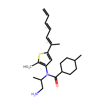 C=C/C=C/C=C(\C)c1cc(N(C(=O)C2CCC(C)CC2)C(C)CN)c(C(=O)O)s1